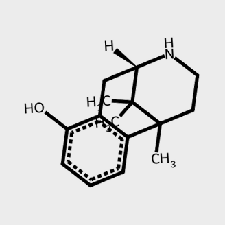 CC12CCN[C@@H](Cc3c(O)cccc31)C2(C)C